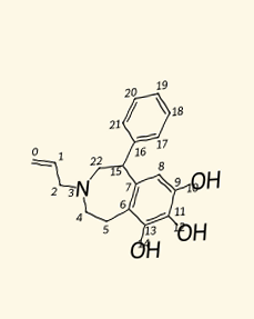 C=CCN1CCc2c(cc(O)c(O)c2O)C(c2ccccc2)C1